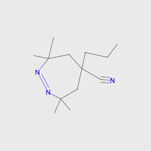 CCCC1(C#N)CC(C)(C)N=NC(C)(C)C1